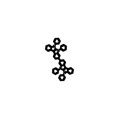 c1ccc(-n2c3ccccc3c3c4ccc(-c5ccc6c7c8ccccc8n(-c8ccccc8)c7n(-c7ccccc7)c6c5)cc4n(-c4ccccc4)c32)cc1